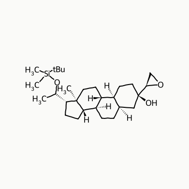 CC(O[Si](C)(C)C(C)(C)C)[C@H]1CC[C@H]2[C@@H]3CC[C@@H]4C[C@@](O)([C@H]5CO5)CC[C@@H]4[C@H]3CC[C@]12C